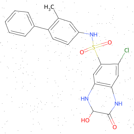 Cc1cc(NS(=O)(=O)c2cc3c(cc2Cl)NC(=O)C(O)N3)ccc1-c1ccccc1